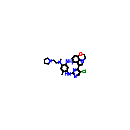 Cc1cc(N(C)CCN2CCCC2)c(N)cc1Nc1ncc(Cl)c(-c2cn3c4c(cccc24)OCC3)n1